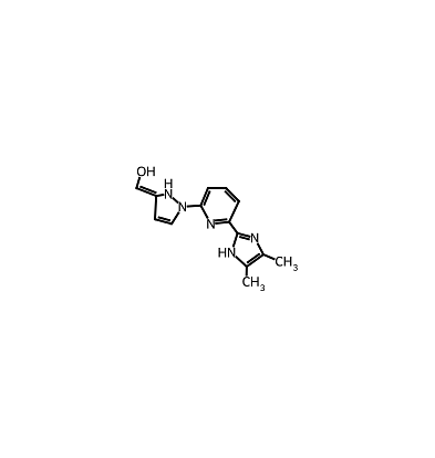 Cc1nc(-c2cccc(N3C=CC(=CO)N3)n2)[nH]c1C